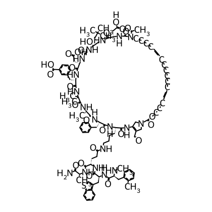 CN[C@@H](Cc1ccccc1C)C(=O)N[C@@H](Cc1csc2ccccc12)C(=O)N[C@@H](CCC(=O)NCCCC[C@@H]1NC(=O)[C@H](Cc2ccccc2)NC(=O)[C@H](C)NC(=O)C(C)(C)NC(=O)[C@H](Cc2cccc(C(=O)O)c2)NC(=O)[C@H](CC(=O)O)NC(=O)NC(O)[C@H](CC(C)(C)C)NC(=O)[C@H](CC(=O)O)NC(=O)N(C(C)=O)CCCC/C=C\CCCCCC/C=C/CCCOC(=O)N2CC(C=O)=C(C2)NC1=O)C(=O)N[C@@H](C)C(N)=O